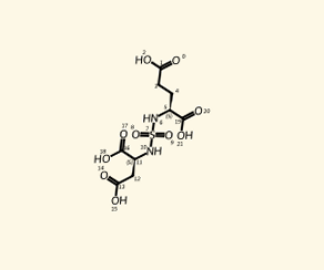 O=C(O)CC[C@H](NS(=O)(=O)N[C@@H](CC(=O)O)C(=O)O)C(=O)O